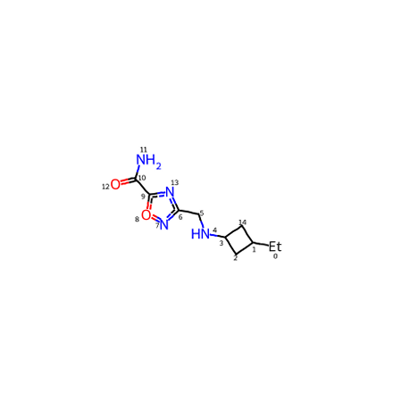 CCC1CC(NCc2noc(C(N)=O)n2)C1